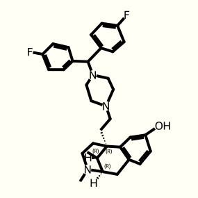 C[C@H]1[C@H]2Cc3ccc(O)cc3[C@]1(CCN1CCN(C(c3ccc(F)cc3)c3ccc(F)cc3)CC1)CCN2C